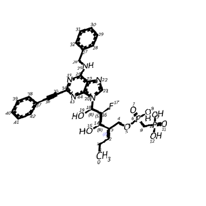 CC/C=C(/COP(=O)(O)CP(=O)(O)O)[C@@H](O)[C@H](F)[C@@H](O)n1cnc2c(NCc3ccccc3)nc(C#Cc3ccccc3)nc21